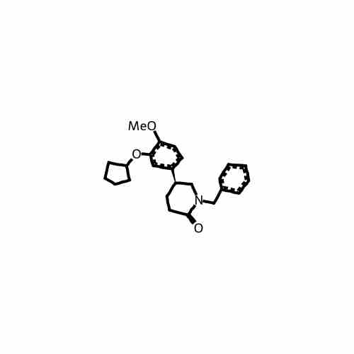 COc1ccc([C@@H]2CCC(=O)N(Cc3ccccc3)C2)cc1OC1CCCC1